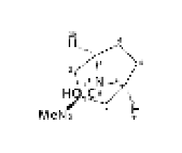 CN[C@H]1C[C@H]2CC[C@@H](C1)N2C(=O)O